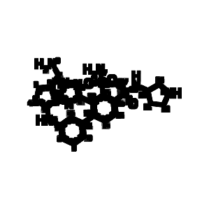 NCc1csc(Nc2cccc(-c3ccc(S(=O)(=O)NC4CCNC4)c(S(N)(=O)=O)c3-c3nn[nH]n3)c2)n1